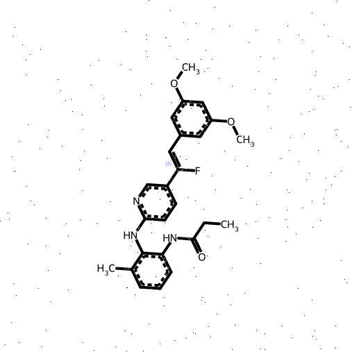 CCC(=O)Nc1cccc(C)c1Nc1ccc(/C(F)=C/c2cc(OC)cc(OC)c2)cn1